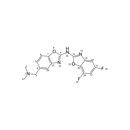 CN(C)Cc1ccc2oc(Nc3nc4cc(F)cc(F)c4o3)nc2c1